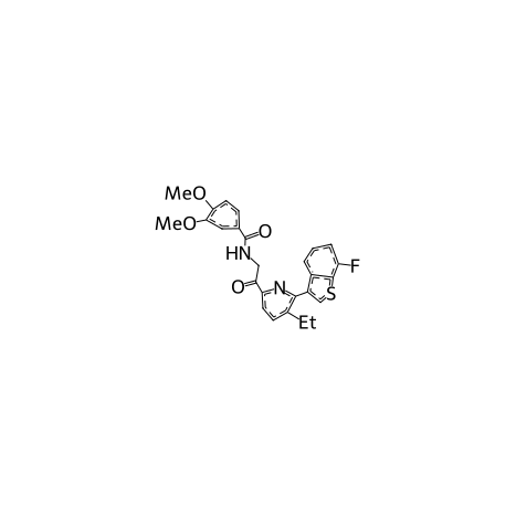 CCc1ccc(C(=O)CNC(=O)c2ccc(OC)c(OC)c2)nc1-c1csc2c(F)cccc12